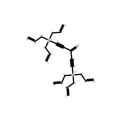 C=CC[Si](C#CC(=O)C#C[Si](CC=C)(CC=C)CC=C)(CC=C)CC=C